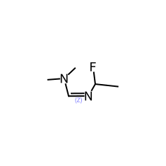 CC(F)/N=C\N(C)C